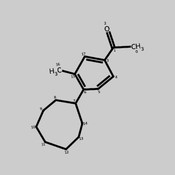 CC(=O)c1ccc(C2CCCCCCC2)c(C)c1